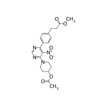 COC(=O)CCc1ccc(-c2ncnc(N3CCC(OC(C)=O)CC3)c2[N+](=O)[O-])cc1